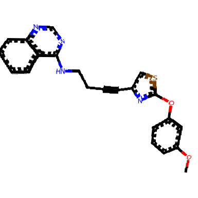 COc1cccc(Oc2nc(C#CCCNc3ncnc4ccccc34)cs2)c1